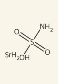 NS(=O)(=O)O.[SrH2]